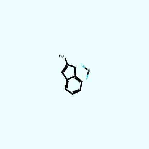 CC1=Cc2ccccc2[CH]1.[F][Ti][F]